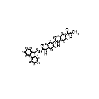 CNC(=O)c1ccc(NC(=O)c2ccc(NC(=O)OCC3c4ccccc4-c4ccccc43)cc2)cc1